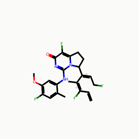 C=C/C(F)=C(C)\C(=C/CF)C1CCc2c(F)c(=O)nc(Nc3cc(OC)c(F)cc3C)n21